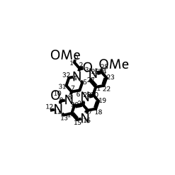 COCC(=O)N1CCC(N2C(=O)N(C)Cc3cnc4ccc(-c5ccc(OC)nc5)nc4c32)CC1